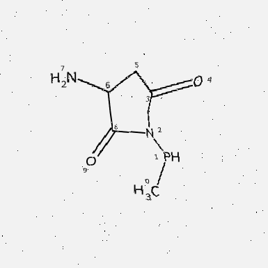 CPN1C(=O)CC(N)C1=O